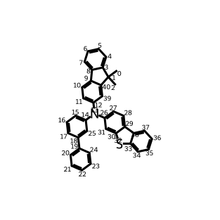 CC1(C)c2ccccc2-c2ccc(N(c3cccc(-c4ccccc4)c3)c3ccc4c(c3)sc3ccccc34)cc21